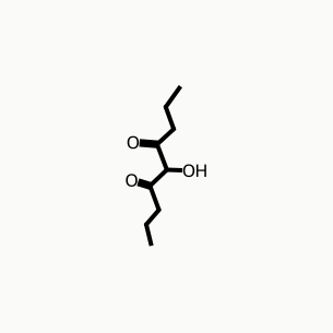 CCCC(=O)C(O)C(=O)CCC